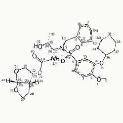 COc1ccc(S(=O)(=O)N(Cc2ccccc2)[C@H](NC(=O)O[C@H]2CO[C@H]3OCC[C@H]32)[C@@H](C)O)cc1OC1CCCCC1